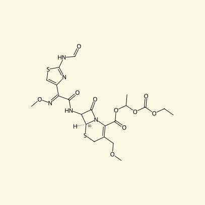 CCOC(=O)OC(C)OC(=O)C1=C(COC)CS[C@H]2C(NC(=O)C(=NOC)c3csc(NC=O)n3)C(=O)N12